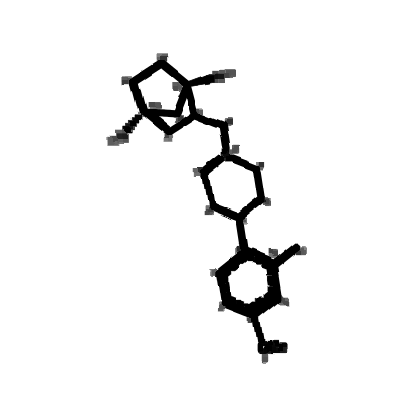 COc1ccc(C2CCN(CC3C[C@H]4CC[C@H]3C4)CC2)c(C)c1